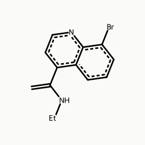 C=C(NCC)c1ccnc2c(Br)cccc12